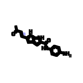 CC(=O)/C=C/c1cc2cc(C(=O)Nc3ccc(N)cc3)[nH]c2[nH]1